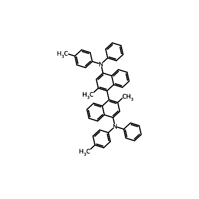 Cc1ccc(N(c2ccccc2)c2cc(C)c(-c3c(C)cc(N(c4ccccc4)c4ccc(C)cc4)c4ccccc34)c3ccccc23)cc1